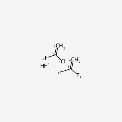 C=C(F)Cl.C=C(F)F.F